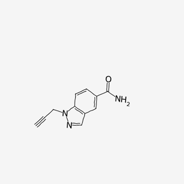 C#CCn1ncc2cc(C(N)=O)ccc21